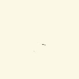 C#C[C@@](C)(N)C(C)C